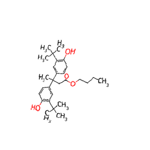 CCCCOC(=O)CC(C)(c1ccc(O)c(C(C)(C)C)c1)c1ccc(O)c(C(C)(C)C)c1